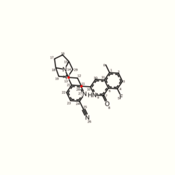 Cc1ccc(F)c2c(=O)[nH]c(CCCN3C4CCC3CN(c3ccc(C#N)nc3)C4)cc12